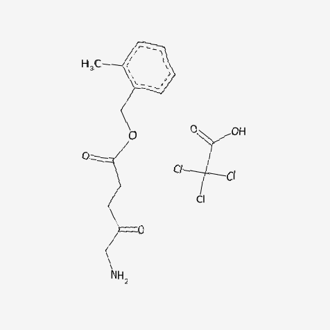 Cc1ccccc1COC(=O)CCC(=O)CN.O=C(O)C(Cl)(Cl)Cl